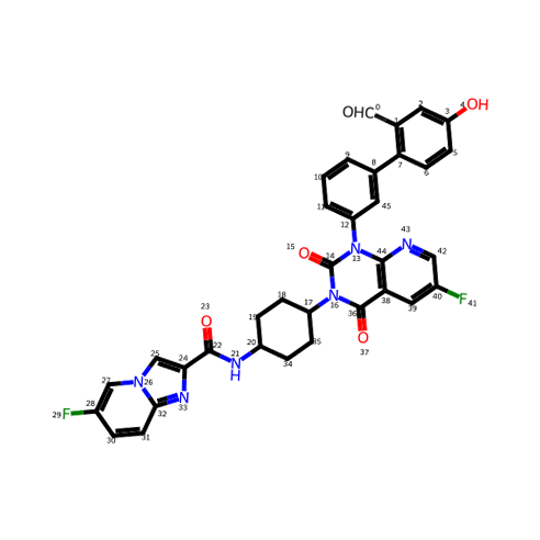 O=Cc1cc(O)ccc1-c1cccc(-n2c(=O)n(C3CCC(NC(=O)c4cn5cc(F)ccc5n4)CC3)c(=O)c3cc(F)cnc32)c1